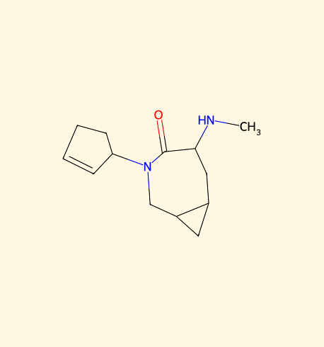 CNC1CC2CC2CN(C2C=CCC2)C1=O